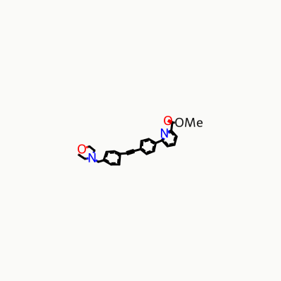 COC(=O)c1cccc(-c2ccc(C#Cc3ccc(CN4CCOCC4)cc3)cc2)n1